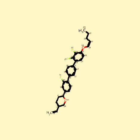 C=CC1CCC(c2ccc(-c3ccc(-c4ccc(O/C=C\CCC)c(F)c4F)cc3)c(F)c2)OC1